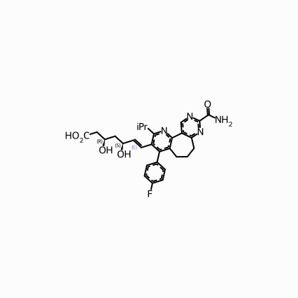 CC(C)c1nc2c(c(-c3ccc(F)cc3)c1/C=C/[C@@H](O)C[C@@H](O)CC(=O)O)CCCc1nc(C(N)=O)ncc1-2